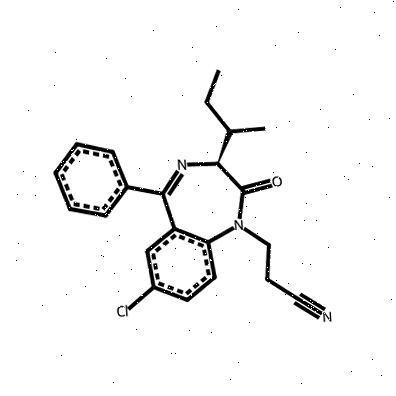 CCC(C)[C@@H]1N=C(c2ccccc2)c2cc(Cl)ccc2N(CCC#N)C1=O